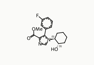 COC(=O)c1ncn([C@H]2CCCC[C@@H]2O)c1-c1cccc(F)c1